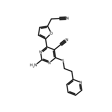 N#CCc1ccc(-c2nc(N)nc(SCCc3ccccn3)c2C#N)o1